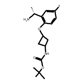 C[C@@H](N)c1cc(F)ccc1OC1CC(NC(=O)OC(C)(C)C)C1